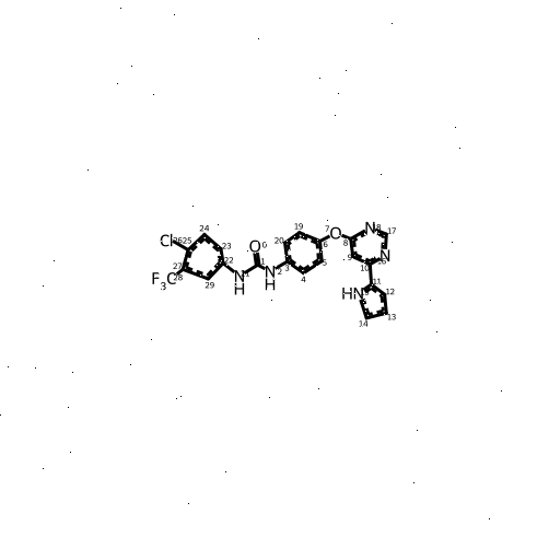 O=C(Nc1ccc(Oc2cc(-c3ccc[nH]3)ncn2)cc1)Nc1ccc(Cl)c(C(F)(F)F)c1